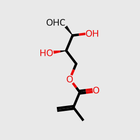 C=C(C)C(=O)OC[C@@H](O)[C@H](O)C=O